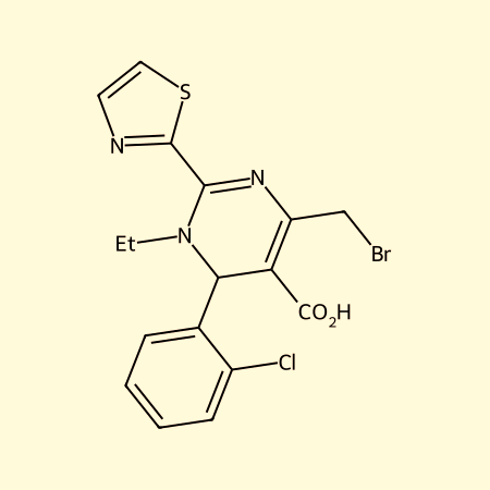 CCN1C(c2nccs2)=NC(CBr)=C(C(=O)O)C1c1ccccc1Cl